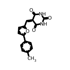 Cc1ccc(-c2ccc(C=C3C(=O)NC(=O)NC3=O)o2)cc1